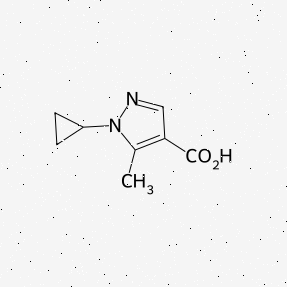 Cc1c(C(=O)O)cnn1C1CC1